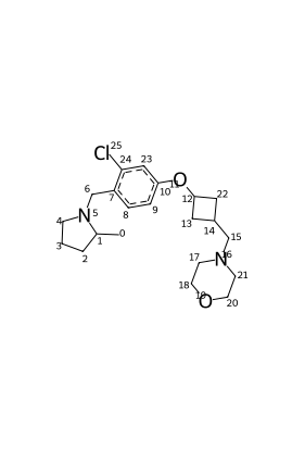 CC1CCCN1Cc1ccc(OC2CC(CN3CCOCC3)C2)cc1Cl